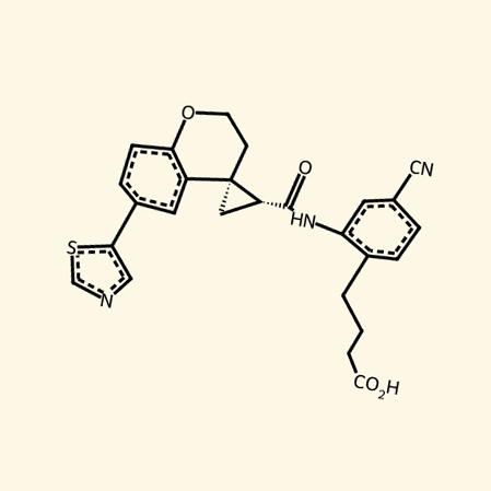 N#Cc1ccc(CCCC(=O)O)c(NC(=O)[C@@H]2C[C@]23CCOc2ccc(-c4cncs4)cc23)c1